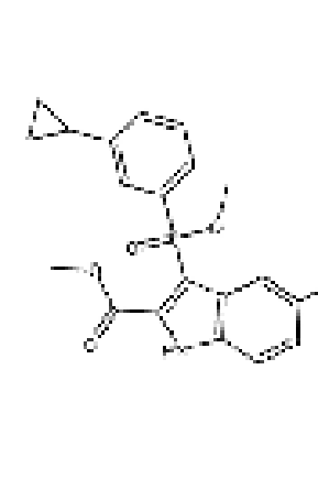 COC(=O)c1[nH]c2ccc(Cl)cc2c1P(=O)(OC)c1cccc(C2CC2)c1